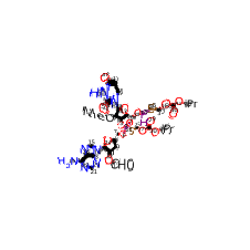 CO[C@@H]1[C@H](OP(=O)(OC[C@@H]2C[C@@H](OC=O)[C@H](n3cnc4c(N)ncnc43)O2)SCOC(=O)OC(C)C)[C@@H](COPSCOC(=O)OC(C)C)O[C@H]1n1ccc(=O)[nH]c1=O